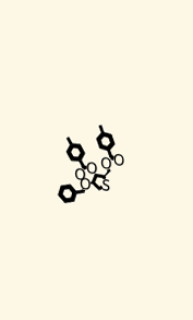 Cc1ccc(C(=O)OC[C@H]2SC[C@@H](OCc3ccccc3)[C@H]2OC(=O)c2ccc(C)cc2)cc1